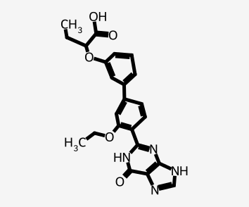 CCOc1cc(-c2cccc(OC(CC)C(=O)O)c2)ccc1-c1nc2[nH]cnc2c(=O)[nH]1